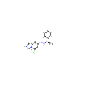 C[C@@H](NCc1cc(Cl)n2cncc2c1)c1ccccc1